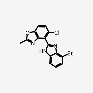 CCc1cccc2[nH]c(-c3c(Cl)ccc4oc(C)nc34)nc12